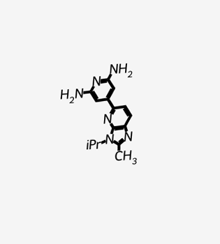 Cc1nc2ccc(-c3cc(N)nc(N)c3)nc2n1C(C)C